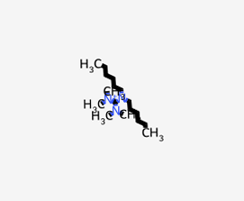 CCCCCCN(CCCCCC)C(N(C)C)=[N+](C)C